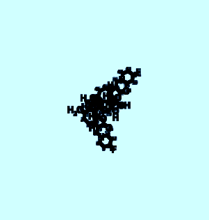 C=C1CC[C@H]2C(CN3CCC(F)CC3)C(=O)O[C@@H]2[C@@H]2[C@H]1CC(=O)[C@]21CC[C@@](O)(CO)[C@@H]2[C@H]3OC(=O)C(CN4CCC(F)CC4)[C@@H]3CCC(=C)[C@@H]21